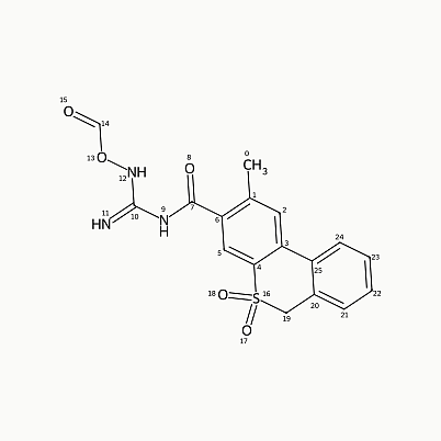 Cc1cc2c(cc1C(=O)NC(=N)NOC=O)S(=O)(=O)Cc1ccccc1-2